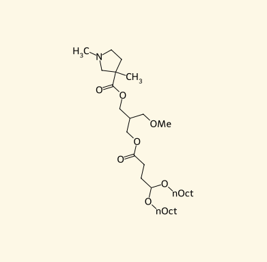 CCCCCCCCOC(CCC(=O)OCC(COC)COC(=O)C1(C)CCN(C)C1)OCCCCCCCC